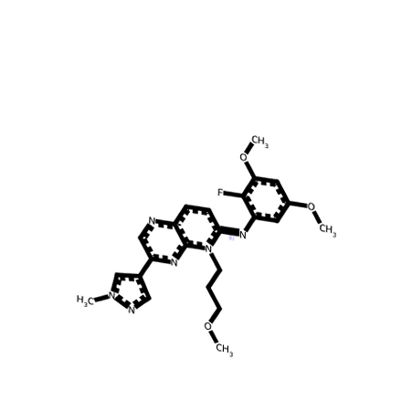 COCCCn1/c(=N/c2cc(OC)cc(OC)c2F)ccc2ncc(-c3cnn(C)c3)nc21